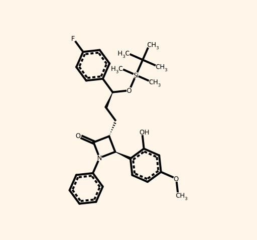 COc1ccc([C@@H]2[C@@H](CC[C@H](O[Si](C)(C)C(C)(C)C)c3ccc(F)cc3)C(=O)N2c2ccccc2)c(O)c1